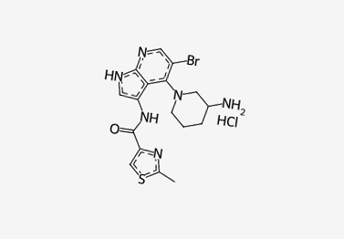 Cc1nc(C(=O)Nc2c[nH]c3ncc(Br)c(N4CCCC(N)C4)c23)cs1.Cl